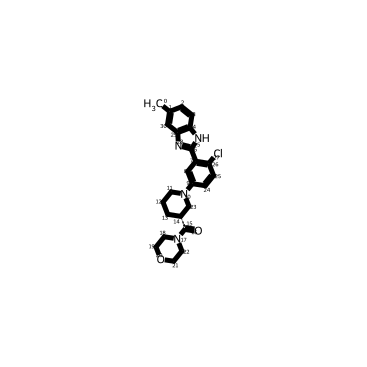 Cc1ccc2[nH]c(-c3cc(N4CCC[C@@H](C(=O)N5CCOCC5)C4)ccc3Cl)nc2c1